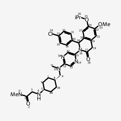 CNC(=O)CN[C@H]1CC[C@H](CN(C)c2cnc(N3C(=O)Cc4cc(OC)c(OC(C)C)cc4C3c3ccc(Cl)cc3)cn2)CC1